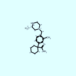 Cc1cc(C2(C(N)=O)CCCCC2)ccc1CN1CCN[C@@H](C)C1